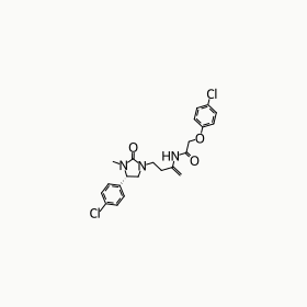 C=C(CCN1C[C@H](c2ccc(Cl)cc2)N(C)C1=O)NC(=O)COc1ccc(Cl)cc1